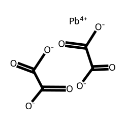 O=C([O-])C(=O)[O-].O=C([O-])C(=O)[O-].[Pb+4]